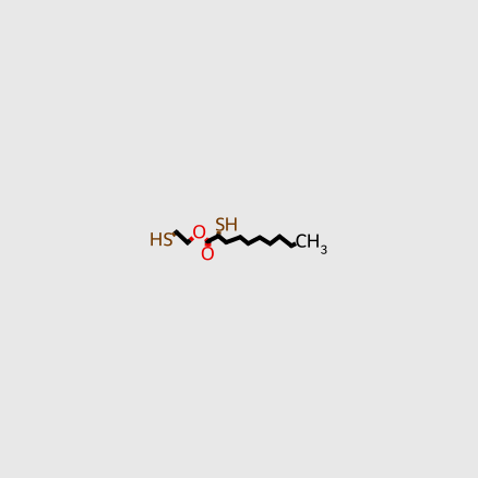 CCCCCCCCC(S)C(=O)OCCS